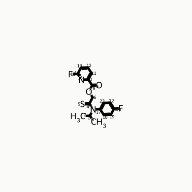 CC(C)N(C(=S)COC(=O)c1cccc(F)n1)c1ccc(F)cc1